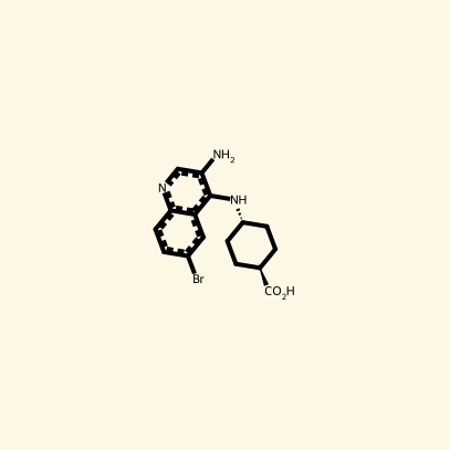 Nc1cnc2ccc(Br)cc2c1N[C@H]1CC[C@H](C(=O)O)CC1